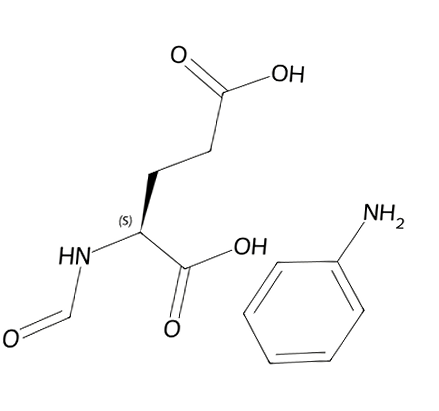 Nc1ccccc1.O=CN[C@@H](CCC(=O)O)C(=O)O